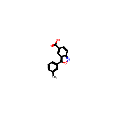 Cc1cccc(-c2onc3ccc(C(=O)O)cc23)c1